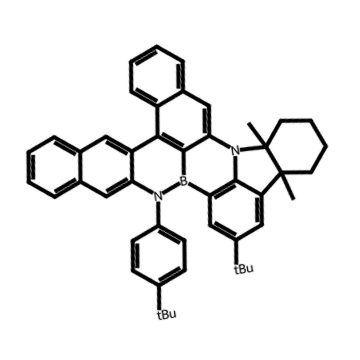 CC(C)(C)c1ccc(N2B3c4cc(C(C)(C)C)cc5c4N(c4cc6ccccc6c(c43)-c3cc4ccccc4cc32)C2(C)CCCCC52C)cc1